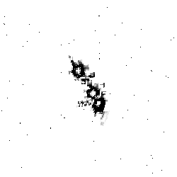 CO[C@]1(c2ccc(Cl)cc2F)CC[C@](O)(COS(=O)(=O)c2ccc(C)cc2)CC1